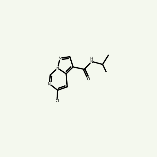 CC(C)NC(=O)c1cnn2cnc(Cl)cc12